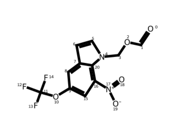 O=COCn1ccc2cc(OC(F)(F)F)cc([N+](=O)[O-])c21